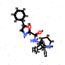 C[C@H]1[C@H](NC(=O)c2ncc(-c3ccccc3)o2)C2CCN1CC2